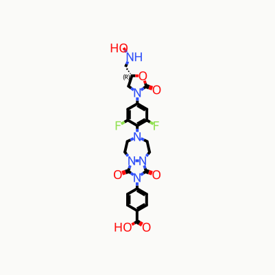 O=C(O)c1ccc(-n2c(=O)n3n(c2=O)CCN(c2c(F)cc(N4C[C@H](CNO)OC4=O)cc2F)CC3)cc1